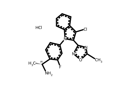 Cc1nc(-c2c(Cl)c3ccccc3n2-c2ccc([C@@H](C)N)c(F)c2)no1.Cl